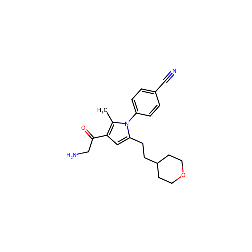 Cc1c(C(=O)CN)cc(CCC2CCOCC2)n1-c1ccc(C#N)cc1